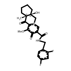 COc1c2n(cc(C(=O)NCc3ccc(F)cc3F)c1=O)C[C@@]1(O)CCCC[C@@]1(C)C2=O